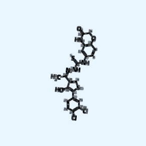 CC(=NNC(=S)Nc1ccc2c(c1)NC(=O)CO2)c1csc(-c2ccc(Cl)c(Cl)c2)c1O